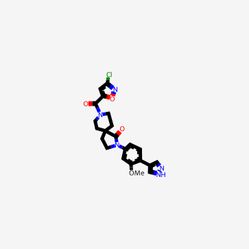 COc1cc(N2CCC3(CCN(C(=O)c4cc(Cl)no4)CC3)C2=O)ccc1-c1cn[nH]c1